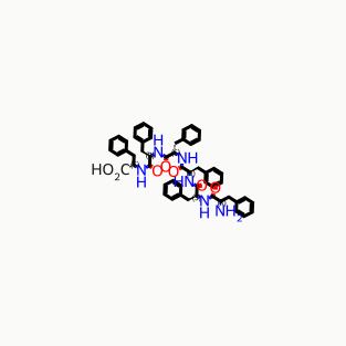 N[C@H](Cc1ccccc1)C(=O)N[C@@H](Cc1ccccc1)C(=O)N[C@H](Cc1ccccc1)C(=O)N[C@@H](Cc1ccccc1)C(=O)N[C@H](Cc1ccccc1)C(=O)N[C@@H](Cc1ccccc1)C(=O)O